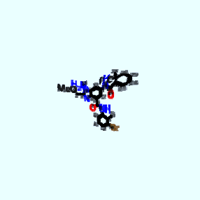 COCc1nc2c(C(=O)Nc3cccc(Br)c3C)cc(NC(=O)C3=CC=CCC3(C)C(F)(F)F)cc2n1N